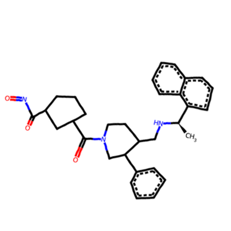 C[C@@H](NCC1CCN(C(=O)C2CCCC(C(=O)N=O)C2)CC1c1ccccc1)c1cccc2ccccc12